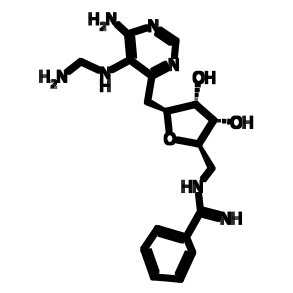 N=C(NC[C@H]1O[C@@H](Cc2ncnc(N)c2NCN)[C@H](O)[C@@H]1O)c1ccccc1